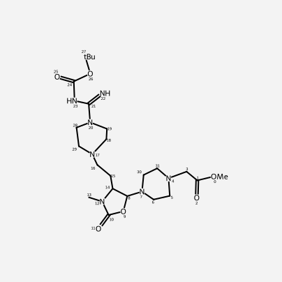 COC(=O)CN1CCN(C2OC(=O)N(C)C2CCN2CCN(C(=N)NC(=O)OC(C)(C)C)CC2)CC1